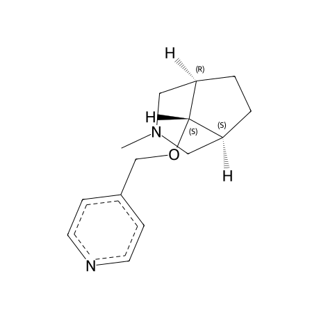 CN1C[C@H]2CC[C@@H](C1)[C@@H]2OCc1ccncc1